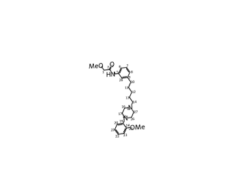 COCC(=O)Nc1cccc(CCCCCN2CCN(c3ccccc3OC)CC2)c1